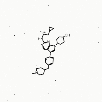 C[C@H](CC1CC1)Nc1ncc2c(-c3ccc(CC4CCN(C)CC4)cc3)cn(C3CCC(O)CC3)c2n1